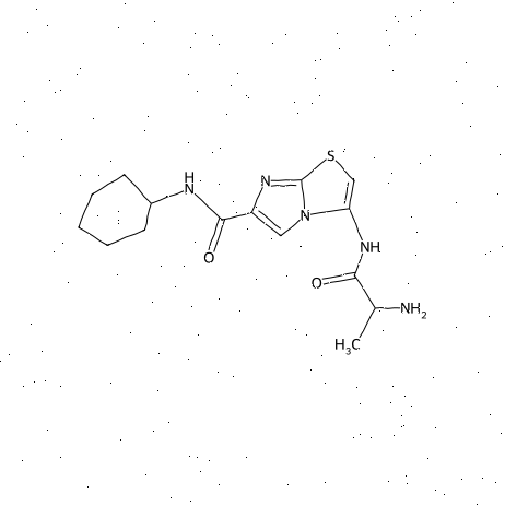 CC(N)C(=O)Nc1csc2nc(C(=O)NC3CCCCC3)cn12